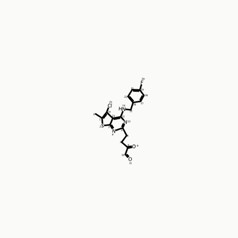 Cc1sc2nc(CCC(=O)C=O)nc(NCc3ccc(F)cc3)c2c1Cl